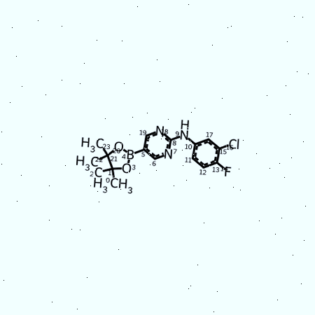 CC1(C)OB(c2cnc(Nc3ccc(F)c(Cl)c3)nc2)OC1(C)C